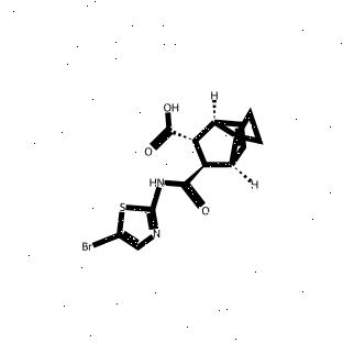 O=C(O)[C@H]1[C@H](C(=O)Nc2ncc(Br)s2)[C@@H]2C=C[C@H]1C21CC1